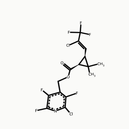 CC1(C)[C@H](C=C(Cl)C(F)(F)F)[C@@H]1C(=O)OCc1c(F)c(F)nc(Cl)c1F